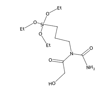 CCO[Si](CCCN(C(N)=O)C(=O)CO)(OCC)OCC